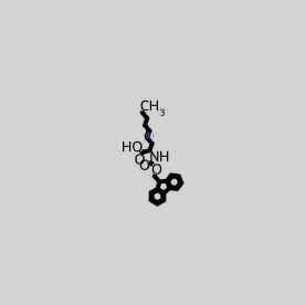 CCCC/C=C/CC(NC(=O)OCC1c2ccccc2-c2ccccc21)C(=O)O